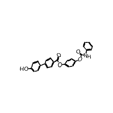 O=C(Nc1ccccc1)Oc1ccc(OC(=O)c2ccc(-c3ccc(O)cc3)cc2)cc1